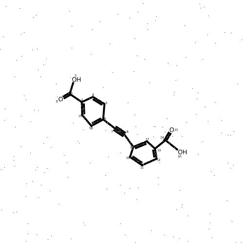 O=C(O)c1ccc(C#Cc2cccc(C(=O)O)c2)cc1